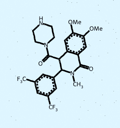 COc1cc2c(cc1OC)C(C(=O)N1CCNCC1)C(c1cc(C(F)(F)F)cc(C(F)(F)F)c1)N(C)C2=O